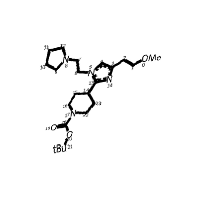 COCCc1cn(CCN2CCCC2)c(C2CCN(C(=O)OC(C)(C)C)CC2)n1